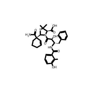 Cc1c(O)cccc1C(=O)N[C@@H](Cc1ccccc1)[C@H](O)C(=O)N1C([C@@]2(C(N)=O)C=CCCC2)SC(C)(C)[C@H]1C(=O)O